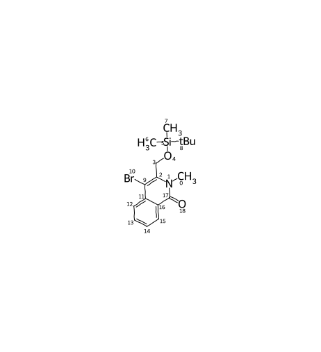 Cn1c(CO[Si](C)(C)C(C)(C)C)c(Br)c2ccccc2c1=O